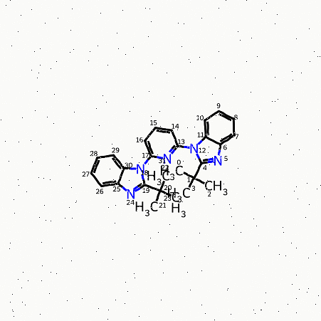 CC(C)(C)c1nc2ccccc2n1-c1cccc(-n2c(C(C)(C)C)nc3ccccc32)n1